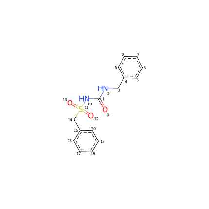 O=C(NCc1ccccc1)NS(=O)(=O)Cc1ccccc1